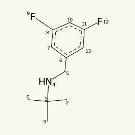 CC(C)(C)NCc1cc(F)cc(F)c1